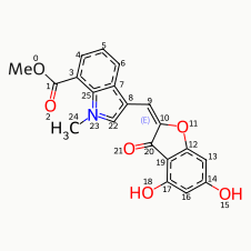 COC(=O)c1cccc2c(/C=C3/Oc4cc(O)cc(O)c4C3=O)cn(C)c12